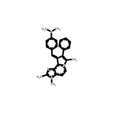 CC1=C(c2ccccc2)/C(=C\c2ccc(N(C)C)cc2)c2c3nc(C)n(C)c3cc[n+]21